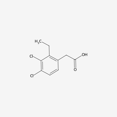 CCc1c(CC(=O)O)ccc(Cl)c1Cl